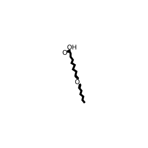 CCCCCC=COC=CCCCCCCCC(=O)O